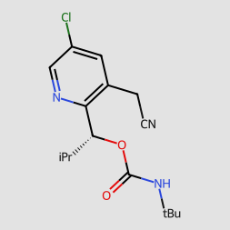 CC(C)[C@@H](OC(=O)NC(C)(C)C)c1ncc(Cl)cc1CC#N